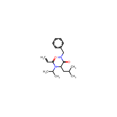 C=CC(=O)N(C(C)C)C(CC(C)C)C(=O)NCc1ccccc1